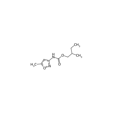 CCC(C)COC(=O)Nc1cc(C)on1